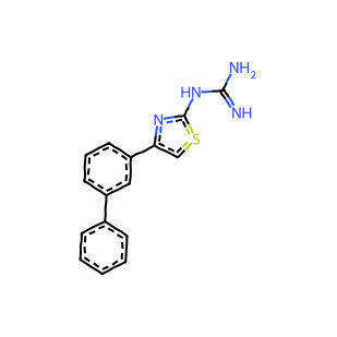 N=C(N)Nc1nc(-c2cccc(-c3ccccc3)c2)cs1